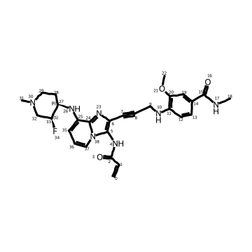 C=CC(=O)Nc1c(C#CCNc2ccc(C(=O)NC)cc2OC)nc2c(N[C@@H]3CCN(C)C[C@@H]3F)cccn12